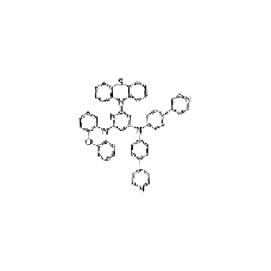 c1ccc2c(c1)Oc1ccccc1N2c1cc(N(c2ccc(-c3ccncc3)cc2)c2ccc(-c3ccncc3)cc2)cc(N2c3ccccc3Sc3ccccc32)n1